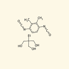 CCC(CO)(CO)CO.Cc1c(N=C=O)ccc(N=C=O)c1C